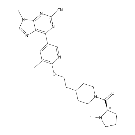 Cc1cc(-c2nc(C#N)nc3c2ncn3C)cnc1OCCC1CCN(C(=O)[C@H]2CCCN2C)CC1